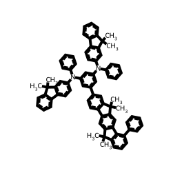 CC1(C)c2ccccc2-c2ccc(N(c3ccccc3)c3cc(-c4ccc5c(c4)C(C)(C)c4cc6c(cc4-5)C(C)(C)c4cccc(-c5ccccc5)c4-6)cc(N(c4ccccc4)c4ccc5c(c4)C(C)(C)c4ccccc4-5)c3)cc21